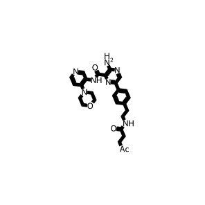 CC(=O)CCC(=O)NCCc1ccc(-c2cnc(N)c(C(=O)Nc3cnccc3N3CCOCC3)n2)cc1